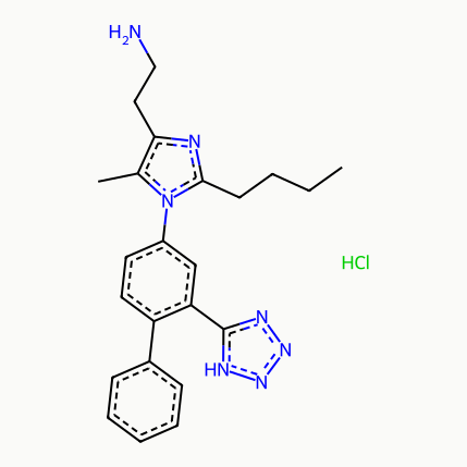 CCCCc1nc(CCN)c(C)n1-c1ccc(-c2ccccc2)c(-c2nnn[nH]2)c1.Cl